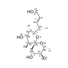 CC[C@H]1[C@H](O)C[C@@]2(O[C@@H]([C@@H](C)/C=C/C(=O)O)[C@@H](C)[C@@H](O)[C@@H]2C)O[C@@H]1C